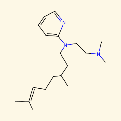 CC(C)=CCCC(C)CCN(CCN(C)C)c1ccccn1